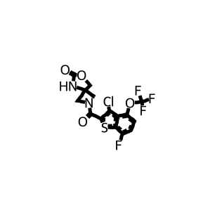 O=C1NC2(CO1)CN(C(=O)c1sc3c(F)ccc(OC(F)(F)F)c3c1Cl)C2